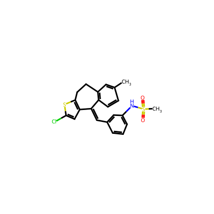 Cc1ccc2c(c1)CCc1sc(Cl)cc1/C2=C/c1cccc(NS(C)(=O)=O)c1